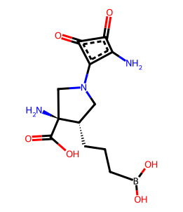 Nc1c(N2C[C@H](CCCB(O)O)[C@](N)(C(=O)O)C2)c(=O)c1=O